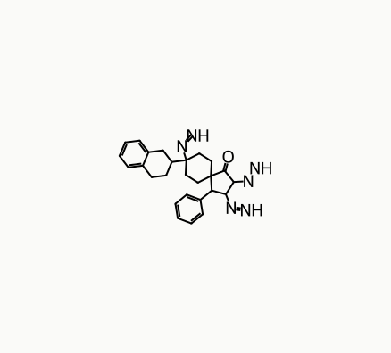 N=NC1C(=O)C2(CCC(N=N)(C3CCc4ccccc4C3)CC2)C(c2ccccc2)C1N=N